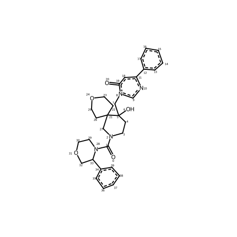 O=C(N1CCC(O)(Cn2cnc(-c3ccccc3)cc2=O)C2(CCOCC2)C1)N1CCOCC1c1ccccc1